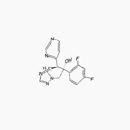 C[C@@H](c1ccncn1)[C@](O)(Cn1cncn1)c1ccc(F)cc1F